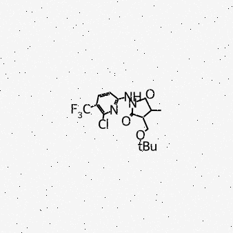 CC1C(=O)N(Nc2ccc(C(F)(F)F)c(Cl)n2)C(=O)C1COC(C)(C)C